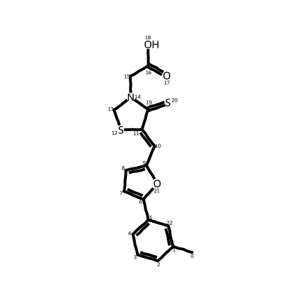 Cc1cccc(-c2ccc(/C=C3\SCN(CC(=O)O)C3=S)o2)c1